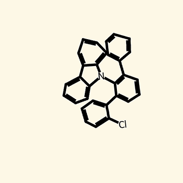 Clc1ccccc1-c1cccc(-c2ccccc2)c1-n1c2ccccc2c2ccccc21